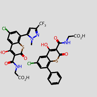 Cn1nc(C(F)(F)F)cc1-c1cc(Cl)cc2c(O)c(C(=O)NCC(=O)O)c(=O)sc12.O=C(O)CNC(=O)c1c(O)c2cc(Cl)cc(-c3ccccc3)c2sc1=O